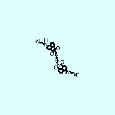 CN(C)CCCNc1ccc2c3c(cccc13)C(=O)N(CCSSCCN1C(=O)c3cccc4c(NCCC[N+](C)(C)C)ccc(c34)C1=O)C2=O